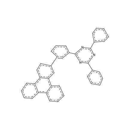 c1ccc(-c2nc(-c3ccccc3)nc(-c3cccc(-c4ccc5c6ccccc6c6ccccc6c5c4)c3)n2)cc1